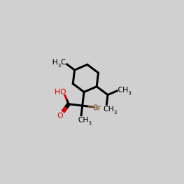 CC1CCC(C(C)C)C(C(C)(Br)C(=O)O)C1